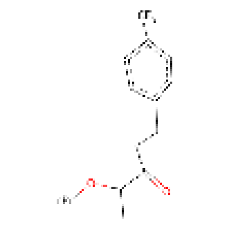 CCCOC(C)C(=O)CCc1ccc(C(F)(F)F)cc1